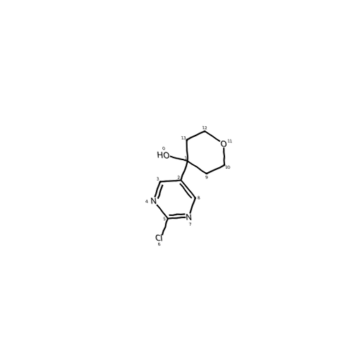 OC1(c2cnc(Cl)nc2)CCOCC1